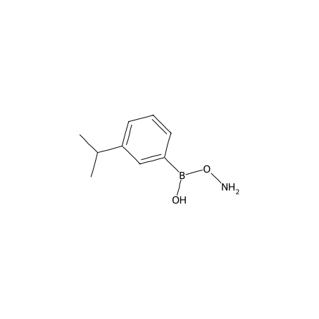 CC(C)c1cccc(B(O)ON)c1